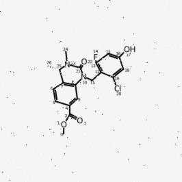 COC(=O)c1ccc2c(c1)N(Cc1c(F)cc(O)cc1Cl)C(=O)N(C)[C@H]2C